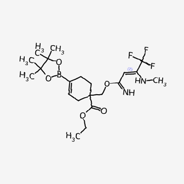 CCOC(=O)C1(COC(=N)/C=C(\NC)C(F)(F)F)CC=C(B2OC(C)(C)C(C)(C)O2)CC1